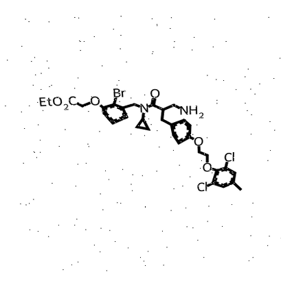 CCOC(=O)COc1cccc(CN(C(=O)C(CN)Cc2ccc(OCCOc3c(Cl)cc(C)cc3Cl)cc2)C2CC2)c1Br